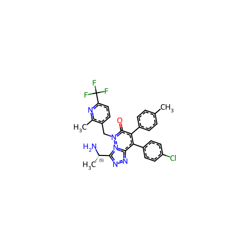 Cc1ccc(-c2c(-c3ccc(Cl)cc3)c3nnc([C@H](C)N)n3n(Cc3ccc(C(F)(F)F)nc3C)c2=O)cc1